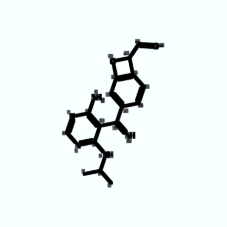 CC(C)Nc1ncnc(N)c1C(=N)c1ccc2c(c1)OC2C=O